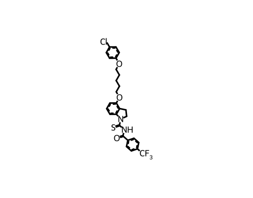 O=C(NC(=S)N1CCc2c(OCCCCCOc3ccc(Cl)cc3)cccc21)c1ccc(C(F)(F)F)cc1